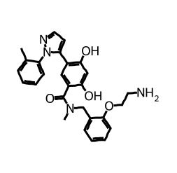 Cc1ccccc1-n1nccc1-c1cc(C(=O)N(C)Cc2ccccc2OCCN)c(O)cc1O